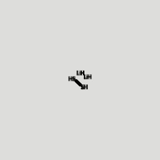 SS.[LiH].[LiH]